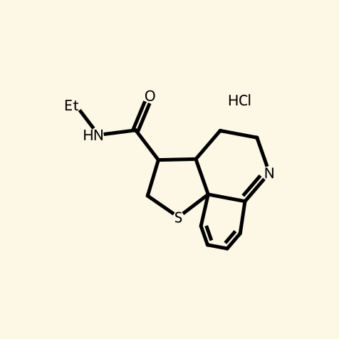 CCNC(=O)C1CSC23C=CC=CC2=NCCC13.Cl